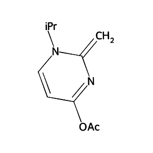 C=C1N=C(OC(C)=O)C=CN1C(C)C